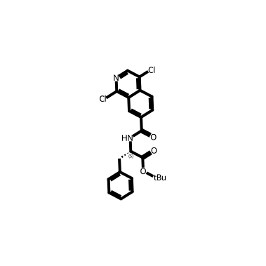 CC(C)(C)OC(=O)[C@H](Cc1ccccc1)NC(=O)c1ccc2c(Cl)cnc(Cl)c2c1